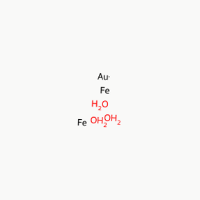 O.O.O.[Au].[Fe].[Fe]